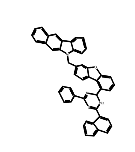 c1ccc(C2=NC(c3cccc4oc5cc(Cn6c7ccccc7c7cc8ccccc8cc76)ccc5c34)NC(c3cccc4ccccc34)=N2)cc1